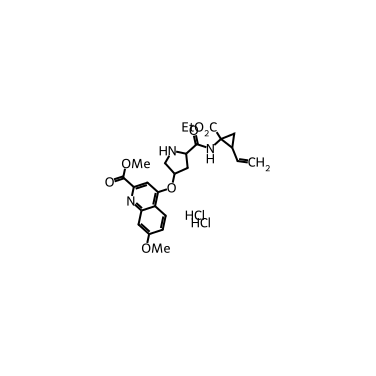 C=CC1CC1(NC(=O)C1CC(Oc2cc(C(=O)OC)nc3cc(OC)ccc23)CN1)C(=O)OCC.Cl.Cl